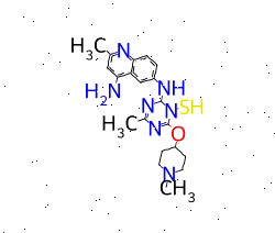 CC1=NC(Nc2ccc3nc(C)cc(N)c3c2)N(S)C(OC2CCN(C)CC2)=N1